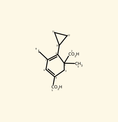 CC1(C(=O)O)CC(C(=O)O)=CC(I)=C1C1CC1